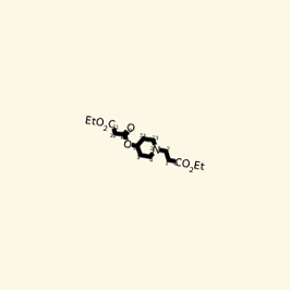 CCOC(=O)CCN1CCC(OC(=O)CC(=O)OCC)CC1